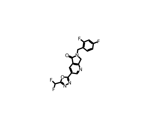 O=C1c2cc(-c3nnc(C(F)F)o3)cnc2CN1Cc1ccc(F)cc1F